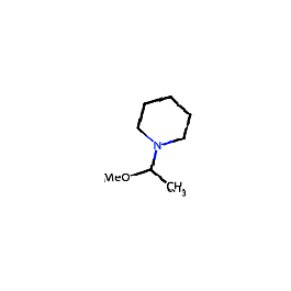 COC(C)N1CCCCC1